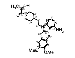 COc1cc(Br)c(Sc2nc3c(N)ncnc3n2CCC2CCN(C(=O)[C@H](C)O)CC2)cc1OC